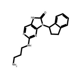 NCCCNc1ncc2[nH]c(=O)n(C3CCc4ccccc43)c2n1